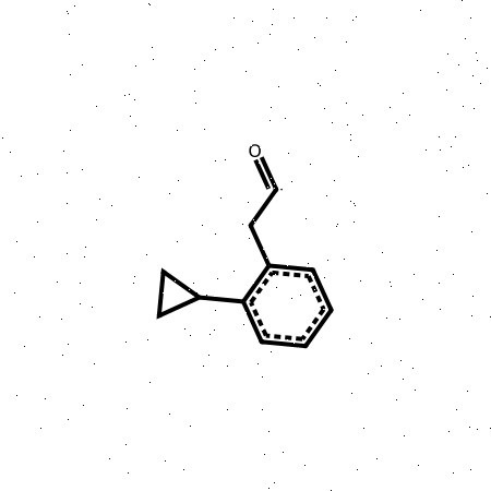 O=[C]Cc1ccccc1C1CC1